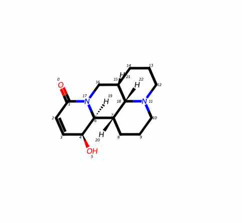 O=C1C=C[C@H](O)[C@@H]2[C@H]3CCCN4CCC[C@@H](CN12)[C@@H]34